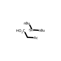 CC(=O)CC(=O)O.CCC[CH2][Sn][CH2]CCC